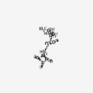 CCCC(NC(=O)NC(CCCCN(Cc1ccc(Br)cc1)C(=O)CCCCCNC(=O)CN1CCN(COC=O)CCN(COC=O)CCN(COC=O)CC1)C(=O)O)C(=O)O